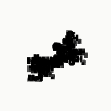 CSCC[C@H](NC(=O)[C@H](CC(C)C)NC(=O)[C@H](Cc1c[nH]cn1)NC(=O)CNC(=O)[C@@H](NC(=O)[C@H](C)NC(=O)[C@H](Cc1c[nH]c2ccccc12)NC(=O)[C@H](CCC(N)=O)NC(=O)[C@H](CC(N)=O)NC(=O)CNC(=O)[C@@H](N)CC(C)C)C(C)C)C(N)=O